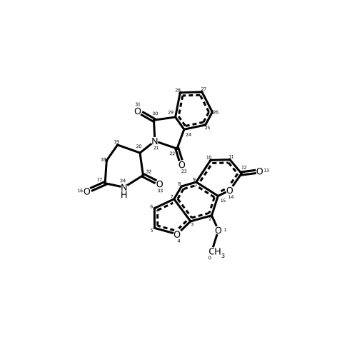 COc1c2occc2cc2ccc(=O)oc12.O=C1CCC(N2C(=O)c3ccccc3C2=O)C(=O)N1